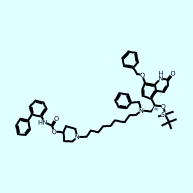 CC(C)(C)[Si](C)(C)O[C@@H](CN(CCCCCCCCCN1CCC(OC(=O)Nc2ccccc2-c2ccccc2)CC1)Cc1ccccc1)c1ccc(OCc2ccccc2)c2[nH]c(=O)ccc12